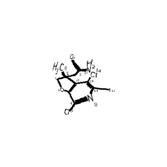 CC1(C(N)=O)COc2c(Cl)nc(I)c(Cl)c21